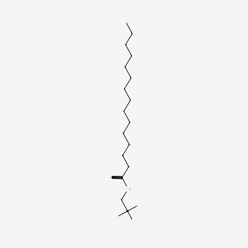 CCCCCCCCCCCCCCC(=O)NCC(F)(F)F